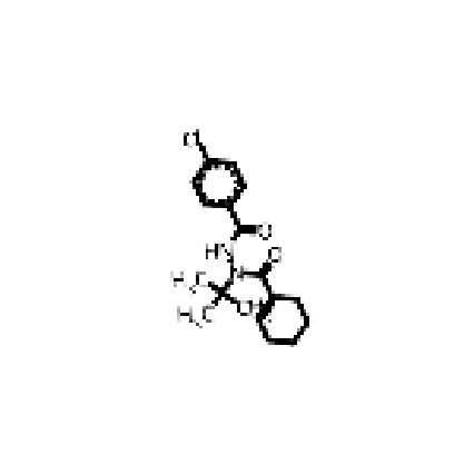 CC(C)(C)N(NC(=O)c1ccc(Cl)cc1)C(=O)C1=CCCCC1